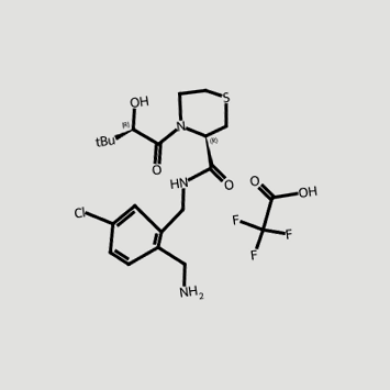 CC(C)(C)[C@@H](O)C(=O)N1CCSC[C@H]1C(=O)NCc1cc(Cl)ccc1CN.O=C(O)C(F)(F)F